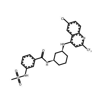 CS(=O)(=O)Nc1cccc(C(=O)N[C@@H]2CCC[C@H](Nc3cc(C(F)(F)F)nc4ccc(Cl)cc34)C2)c1